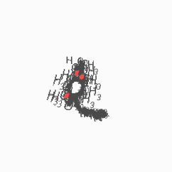 CCC1OC(=O)[C@H](C)C(=O)[C@H](C)[C@@H](OC2OC3OC3C(N(C)C)C2O)[C@@](C)(OC)C[C@@H](C)C(=O)[C@H](C)C2N(CCCCn3cc(Cn4nnc5ccccc54)nn3)C(=O)O[C@]12C